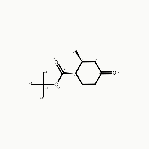 C[C@H]1CC(=O)CC[C@H]1C(=O)OC(C)(C)C